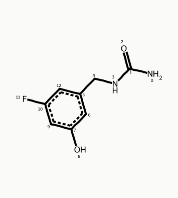 NC(=O)NCc1cc(O)cc(F)c1